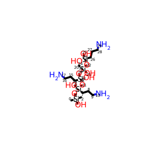 C[Si](C)(O)O[Si](O)(CCCN)O[Si](O)(CCCN)O[Si](C)(O)O[Si](O)(O)CCCN